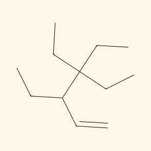 C=CC(CC)C(CC)(CC)CC